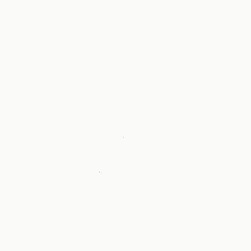 CCOc1ccc(F)c(-c2nc(C(=O)O)c(N)cc2F)c1F